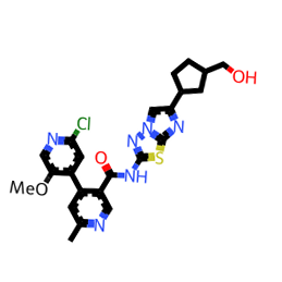 COc1cnc(Cl)cc1-c1cc(C)ncc1C(=O)Nc1nn2cc(C3CCC(CO)C3)nc2s1